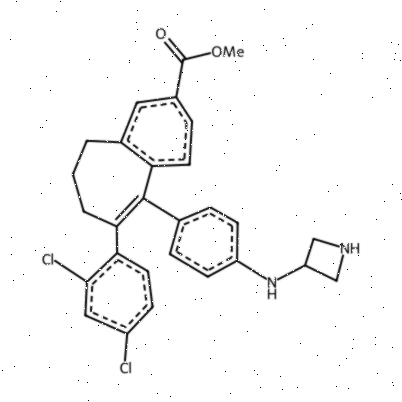 COC(=O)c1ccc2c(c1)CCCC(c1ccc(Cl)cc1Cl)=C2c1ccc(NC2CNC2)cc1